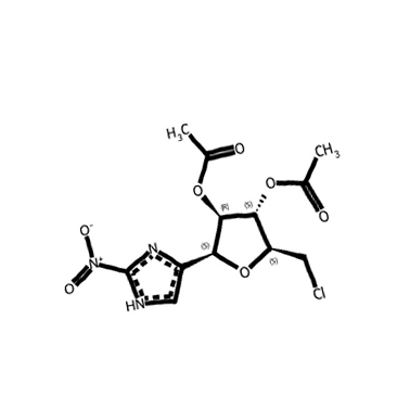 CC(=O)O[C@H]1[C@H](OC(C)=O)[C@H](c2c[nH]c([N+](=O)[O-])n2)O[C@@H]1CCl